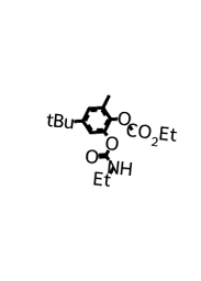 CCNC(=O)Oc1cc(C(C)(C)C)cc(C)c1OC(=O)OCC